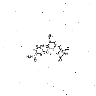 CCOc1cc(/C=C2\SC(=O)NC2=O)ccc1Oc1ccc(C(N)=O)cc1C(F)(F)F